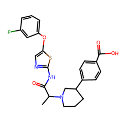 CC(C(=O)Nc1ncc(Oc2cccc(F)c2)s1)N1CCCC(c2ccc(C(=O)O)cc2)C1